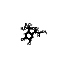 CNC(=O)c1cc(Cl)c(Cl)cc1C(C)(C)C